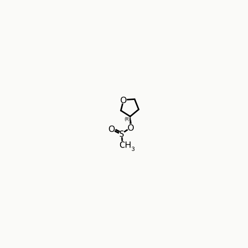 CS(=O)O[C@@H]1CCOC1